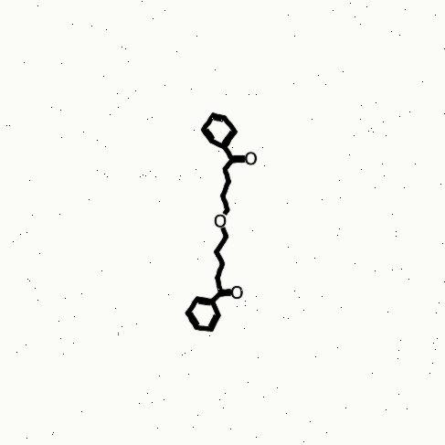 O=C(CCCCOCCCCC(=O)c1ccccc1)c1ccccc1